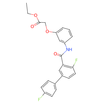 CCOC(=O)COc1cccc(NC(=O)c2cc(-c3ccc(F)cc3)ccc2F)c1